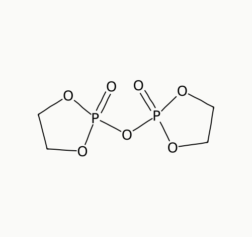 O=P1(OP2(=O)OCCO2)OCCO1